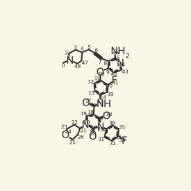 CN1CCC(CC#Cc2c(Oc3ccc(NC(=O)c4cn(C5CCOCC5)c(=O)n(-c5ccc(F)cc5)c4=O)cc3F)ccnc2N)CC1